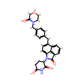 O=C1CCC(N2C(=O)c3cccc4c(Cc5ccc(CN6CCOCC6=O)cc5)ccc2c34)C(=O)N1